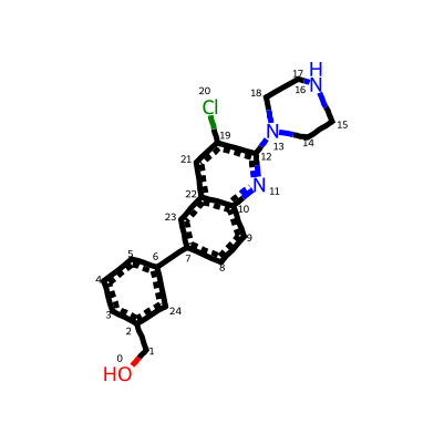 OCc1cccc(-c2ccc3nc(N4CCNCC4)c(Cl)cc3c2)c1